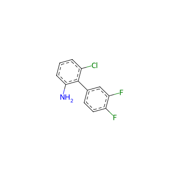 Nc1cccc(Cl)c1-c1ccc(F)c(F)c1